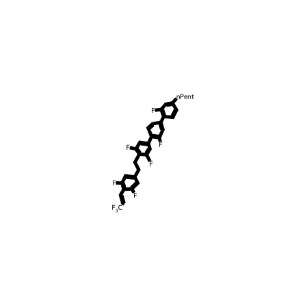 CCCCCc1ccc(-c2ccc(-c3cc(F)c(CCc4cc(F)c(/C=C/C(F)(F)F)c(F)c4)c(F)c3)c(F)c2)c(F)c1